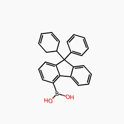 OB(O)c1cccc2c1-c1ccccc1C2(c1ccccc1)C1C=CC=CC1